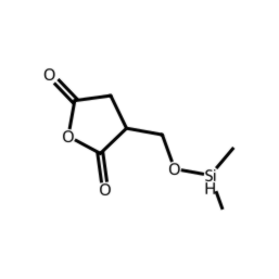 C[SiH](C)OCC1CC(=O)OC1=O